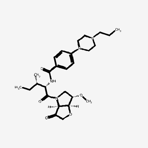 CCCN1CCN(c2ccc(C(=O)N[C@H](C(=O)N3C[C@H](OC)[C@H]4OCC(=O)[C@H]43)[C@@H](C)CC)cc2)CC1